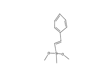 CO[Si](C)(/C=C/c1ccccc1)OC